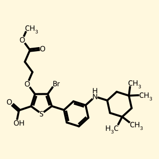 COC(=O)CCOc1c(C(=O)O)sc(-c2cccc(NC3CC(C)(C)CC(C)(C)C3)c2)c1Br